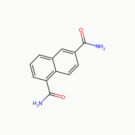 NC(=O)c1ccc2c(C(N)=O)[c]ccc2c1